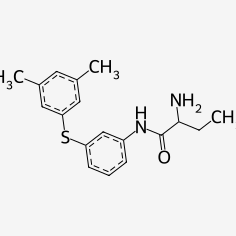 CCC(N)C(=O)Nc1cccc(Sc2cc(C)cc(C)c2)c1